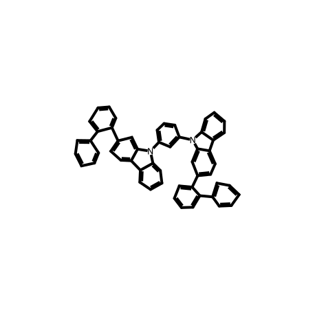 c1ccc(-c2ccccc2-c2ccc3c4ccccc4n(-c4cccc(-n5c6ccccc6c6ccc(-c7ccccc7-c7ccccc7)cc65)c4)c3c2)cc1